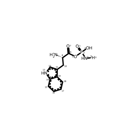 [2H]NP(=O)(O)OC(=O)[C@@H](N)Cc1c[nH]c2ccccc12